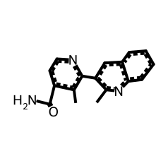 Cc1nc2ccccc2cc1-c1nccc(C(N)=O)c1C